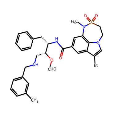 CCc1cn2c3c(cc(C(=O)N[C@@H](Cc4ccccc4)[C@@H](CNCc4cccc(C)c4)OC=O)cc13)N(C)S(=O)(=O)CC2